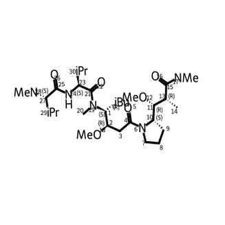 CC[C@@H](C)[C@@H]([C@@H](CC(=O)N1CCC[C@H]1[C@H](OC)[C@@H](C)C(=O)NC)OC)N(C)C(=O)[C@@H](NC(=O)[C@@H](NC)C(C)C)C(C)C